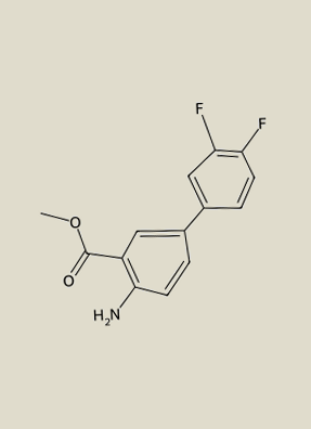 COC(=O)c1cc(-c2ccc(F)c(F)c2)ccc1N